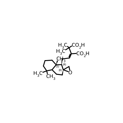 CC(C)(C(=O)O)C(=CC[C@H]1[C@]2(CCC3C(C)(C)CCC[C@@]31C)CO2)C(=O)O